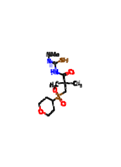 CN/N=C(\S)NC(=O)C(C)(C)CS(=O)(=O)C1CCOCC1